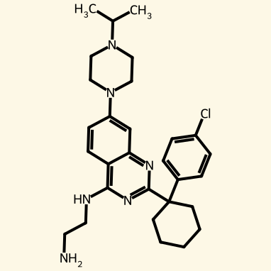 CC(C)N1CCN(c2ccc3c(NCCN)nc(C4(c5ccc(Cl)cc5)CCCCC4)nc3c2)CC1